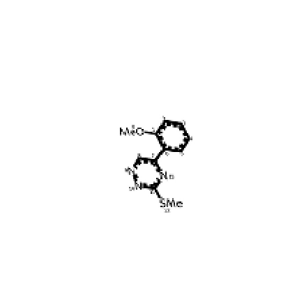 COc1ccccc1-c1cnnc(SC)n1